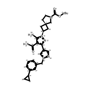 CC(C)(C)OC(=O)N1CC[C@]2(C1)C[C@H](n1nc(-c3cnn(Cc4cccc(C5CC5)c4)c3)c(C(N)=O)c1N)C2